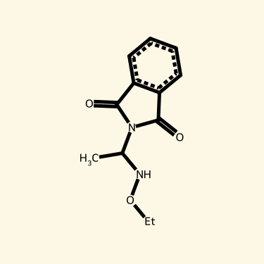 CCONC(C)N1C(=O)c2ccccc2C1=O